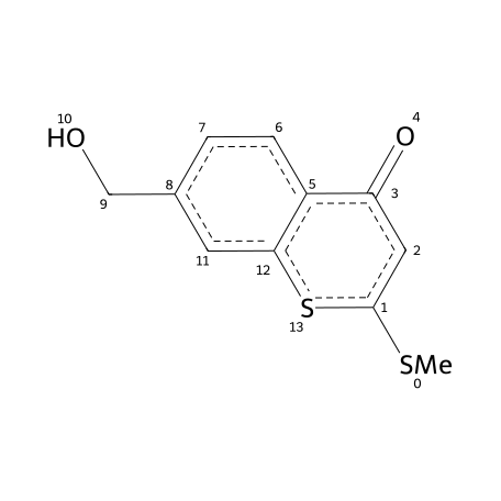 CSc1cc(=O)c2ccc(CO)cc2s1